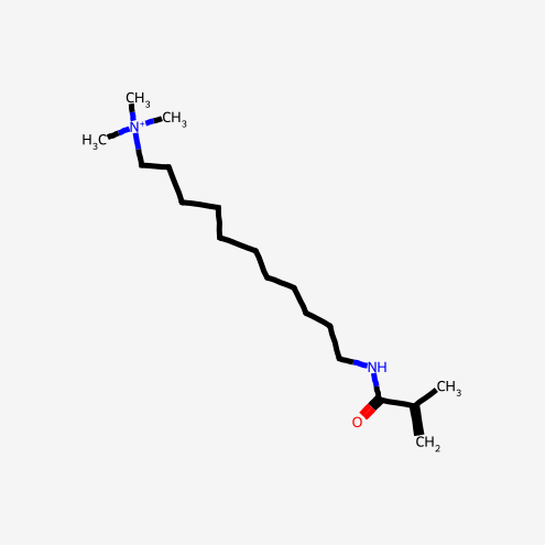 C=C(C)C(=O)NCCCCCCCCCCC[N+](C)(C)C